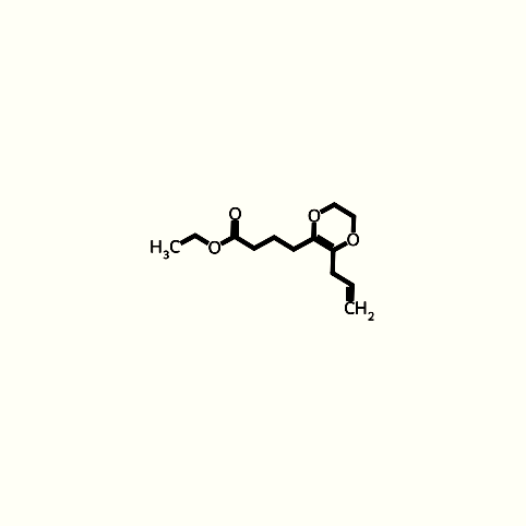 C=CCC1=C(CCCC(=O)OCC)OCCO1